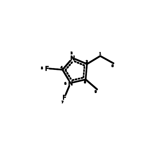 CCc1nc(F)n(F)c1C